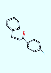 O=C(/C=C\c1ccccc1)c1ccc(F)cc1